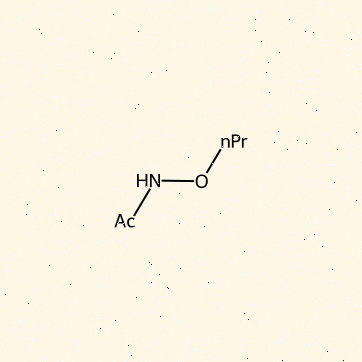 CCCONC(C)=O